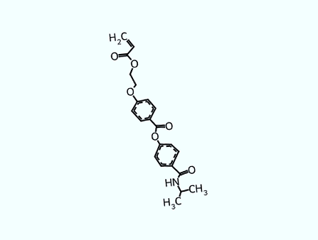 C=CC(=O)OCCOc1ccc(C(=O)Oc2ccc(C(=O)NC(C)C)cc2)cc1